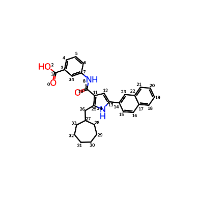 O=C(O)c1cccc(NC(=O)c2cc(-c3ccc4ccccc4c3)[nH]c2CC2CCCCCC2)c1